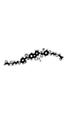 CC1c2cc(OC(=O)c3ccc(OCCCCOCC4CO4)cc3F)ccc2-c2ccc(OC(=O)c3ccc(OCCCCOCC4CO4)cc3F)cc21